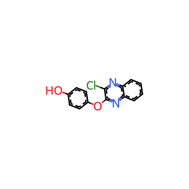 Oc1ccc(Oc2nc3ccccc3nc2Cl)cc1